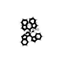 C[CH]=[Zr]([CH2]C=O)(=[C](C1C=CC2=C1CCCC2)C1C=CC2=C1CCCC2)[CH](C1C=Cc2ccccc21)C1C=Cc2ccccc21